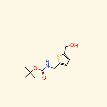 CC(C)(C)OC(=O)NCc1ccc(CO)s1